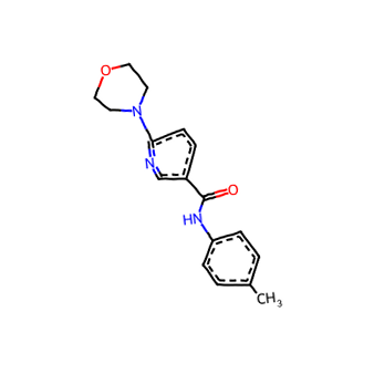 Cc1ccc(NC(=O)c2ccc(N3CCOCC3)nc2)cc1